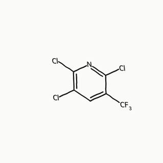 FC(F)(F)c1cc(Cl)c(Cl)nc1Cl